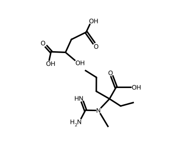 CCCC(CC)(C(=O)O)N(C)C(=N)N.O=C(O)CC(O)C(=O)O